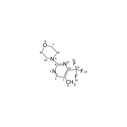 Cc1cnc(N2CCOCC2)nc1C(F)(F)F